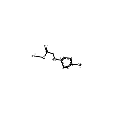 CC(C)OC(=O)CNc1ccc(O)cc1